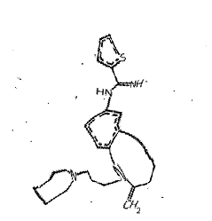 C=C1CCCc2cc(NC(=N)c3cccs3)ccc2N1CCN1CCCC1